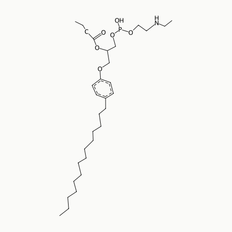 CCCCCCCCCCCCCCc1ccc(OCC(COP(O)OCCNCC)OC(=O)CCC)cc1